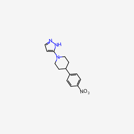 O=[N+]([O-])c1ccc(C2CCN(c3ccn[nH]3)CC2)cc1